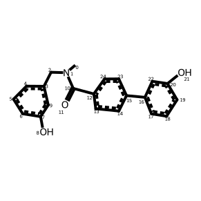 CN(Cc1cccc(O)c1)C(=O)c1ccc(-c2cccc(O)c2)cc1